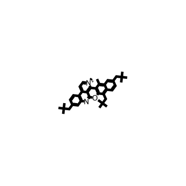 Cc1c2c(c(CC(C)(C)C)c3ccc(CC(C)(C)C)cc13)Oc1nc3cc(CC(C)(C)C)ccc3c3cc[n+](C)c-2c13